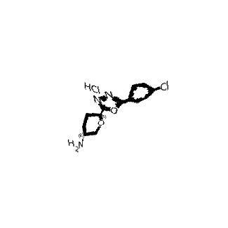 Cl.N[C@@H]1CC[C@@H](c2nnc(-c3ccc(Cl)cc3)o2)OC1